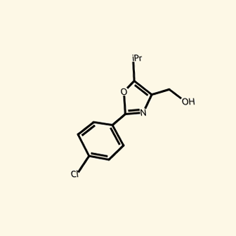 CC(C)c1oc(-c2ccc(Cl)cc2)nc1CO